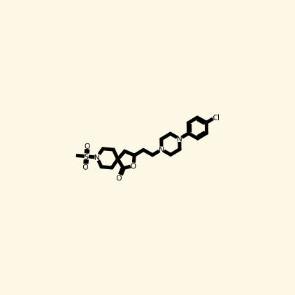 CS(=O)(=O)N1CCC2(CC1)CC(CCN1CCN(c3ccc(Cl)cc3)CC1)OC2=O